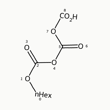 CCCCCCOC(=O)OC(=O)OC(=O)O